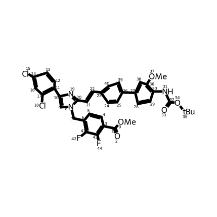 COC(=O)c1ccc(Cn2cc(-c3ccc(Cl)cc3Cl)nc2/C=C/c2ccc(-c3ccc(NC(=O)OC(C)(C)C)c(OC)c3)cc2)c(F)c1F